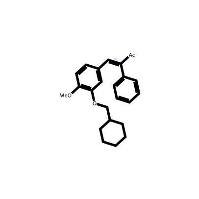 COc1ccc(/C=C(/C(C)=O)c2ccccc2)cc1OCC1CCCCC1